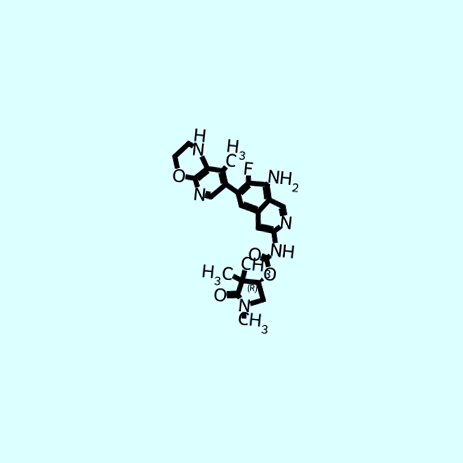 Cc1c(-c2cc3cc(NC(=O)O[C@H]4CN(C)C(=O)C4(C)C)ncc3c(N)c2F)cnc2c1NCCO2